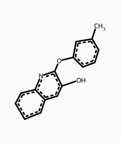 Cc1cccc(Oc2nc3ccccc3cc2O)c1